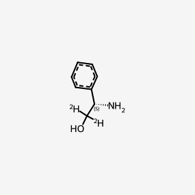 [2H]C([2H])(O)[C@@H](N)c1ccccc1